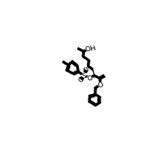 C=C(OCc1ccccc1)[C@H](CCCCC(C)O)OS(=O)(=O)c1ccc(C)cc1